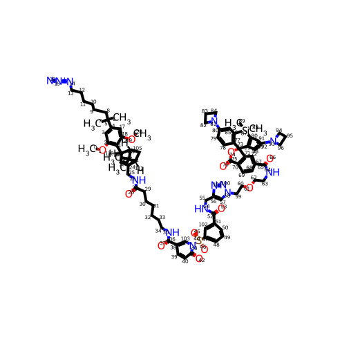 COc1cc(C(C)(C)CCCCCCN=[N+]=[N-])cc(OC)c1[C@H]1C=C(CNC(=O)CCCCCCNC(=O)c2ccc(=O)n(S(=O)(=O)c3cccc(C(=O)NCc4cn(CCOCCNC(=O)c5ccc6c(c5)C5(OC6=O)c6ccc(N7CCC7)cc6[Si](C)(C)c6cc(N7CCC7)ccc65)nn4)c3)c2)[C@H]2C[C@@H]1C2(C)C